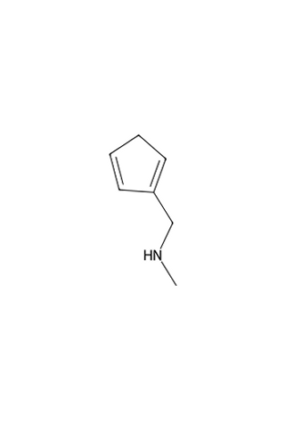 CNCC1=CCC=C1